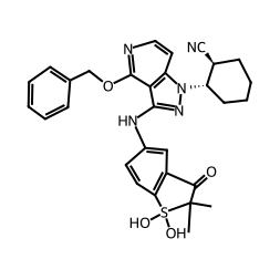 CC1(C)C(=O)c2cc(Nc3nn([C@H]4CCCC[C@@H]4C#N)c4ccnc(OCc5ccccc5)c34)ccc2S1(O)O